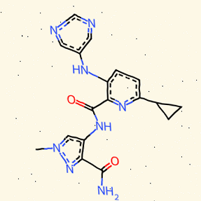 Cn1cc(NC(=O)c2nc(C3CC3)ccc2Nc2cncnc2)c(C(N)=O)n1